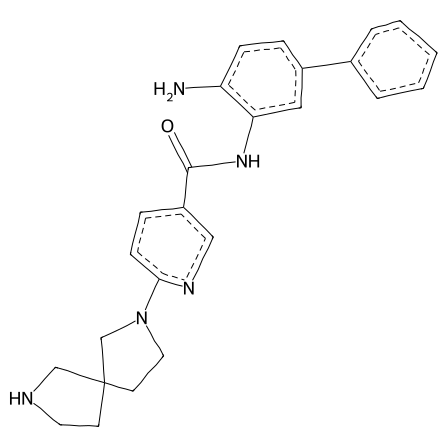 Nc1ccc(-c2ccccc2)cc1NC(=O)c1ccc(N2CCC3(CCNC3)C2)nc1